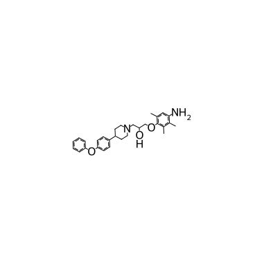 Cc1cc(N)c(C)c(C)c1OCC(O)CN1CCC(c2ccc(Oc3ccccc3)cc2)CC1